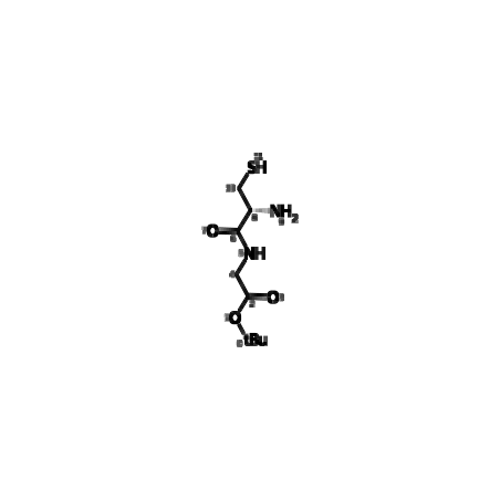 CC(C)(C)OC(=O)CNC(=O)[C@@H](N)CS